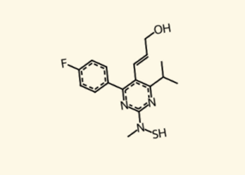 CC(C)c1nc(N(C)S)nc(-c2ccc(F)cc2)c1/C=C/CO